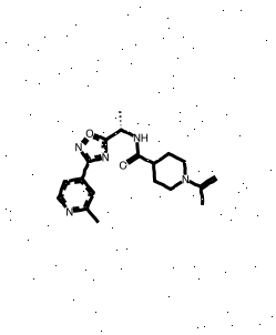 C=C(C)N1CCC(C(=O)N[C@@H](C)c2nc(-c3ccnc(C)c3)no2)CC1